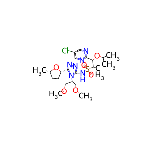 COCC(COC)n1c(NS(=O)(=O)C(C)C(OC(C)C)c2ncc(Cl)cn2)nnc1[C@@H]1CC[C@H](C)O1